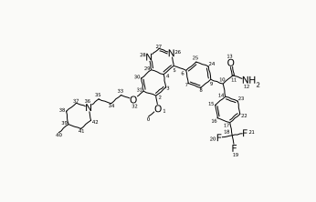 COc1cc2c(-c3ccc(C(C(N)=O)c4ccc(C(F)(F)F)cc4)cc3)ncnc2cc1OCCCN1CCC(C)CC1